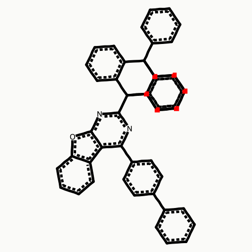 c1ccc(-c2ccc(-c3nc(C45c6ccccc6C(c6ccccc6)(c6ccccc64)c4ccccc45)nc4oc5ccccc5c34)cc2)cc1